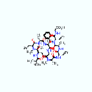 CN[C@@H](C)C(=O)N[C@@H](CC(C)C)C(=O)N(C)[C@@H](CC(C)C)C(=O)N[C@@H](C)C(=O)N(C)[C@@H](Cc1ccccc1)C(=O)NCC(=O)N(C)[C@@H](C)C(=O)N[C@@H](CC(C)C)C(=O)N[C@@H](C)C(=O)N(C)[C@@H](CC(C)C)C(=O)NCC(=O)O